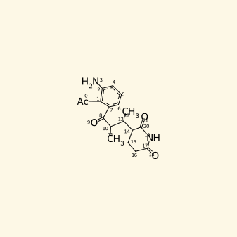 CC(=O)c1c(N)cccc1C(=O)C(C)C(C)C1CCC(=O)NC1=O